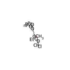 CCCOC(COCCCCCOc1c(C)cc(OCC=C(Cl)Cl)cc1CC)OCCC